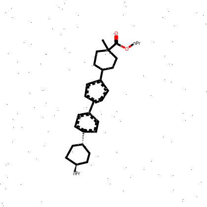 CCCOC(=O)C1(C)CCC(c2ccc(-c3ccc([C@H]4CC[C@H](CCC)CC4)cc3)cc2)CC1